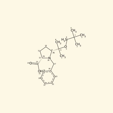 CC(C)(C)[SiH2]OC(C)(C)[C@H]1CC[C@@H](C(=O)O)N1Cc1ccccc1